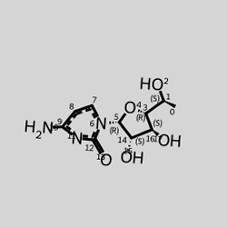 C[C@H](O)[C@H]1O[C@@H](n2ccc(N)nc2=O)[C@@H](O)[C@@H]1O